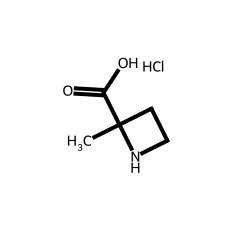 CC1(C(=O)O)CCN1.Cl